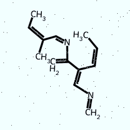 C=N/C=C(\C=C/C)C(=C)/N=C\C(C)=C/C